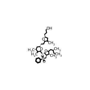 C=C1C[C@H](CCCO)OC1CC[C@H]1C[C@@H](C)C(=C)C(C[C@@H]2OC(C[C@H](C)CC)[C@H](C)[C@H]2CS(=O)(=O)c2ccccc2)O1